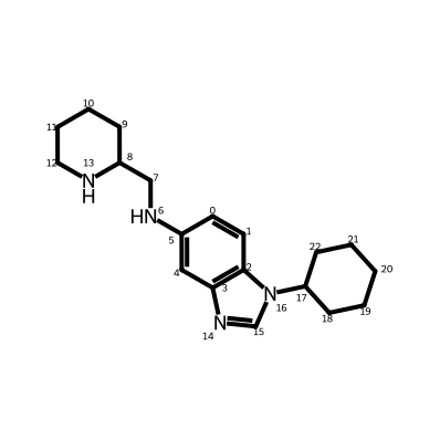 c1cc2c(cc1NCC1CCCCN1)ncn2C1CCCCC1